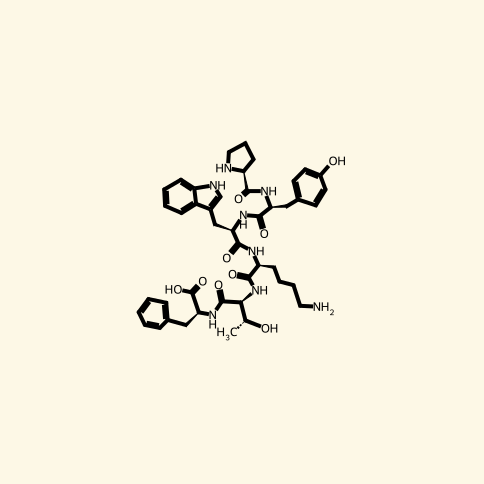 C[C@@H](O)[C@H](NC(=O)[C@H](CCCCN)NC(=O)[C@@H](Cc1c[nH]c2ccccc12)NC(=O)[C@H](Cc1ccc(O)cc1)NC(=O)[C@@H]1CCCN1)C(=O)N[C@@H](Cc1ccccc1)C(=O)O